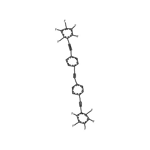 Fc1c(F)c(F)c(C#Cc2ccc(C#Cc3ccc(C#Cc4c(F)c(F)c(F)c(F)c4F)cc3)cc2)c(F)c1F